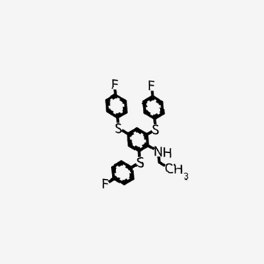 CCNc1c(Sc2ccc(F)cc2)cc(Sc2ccc(F)cc2)cc1Sc1ccc(F)cc1